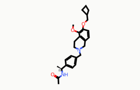 COc1c(OCC2CCC2)ccc2c1CCN(Cc1ccc([C@H](C)NC(C)=O)cc1)C2